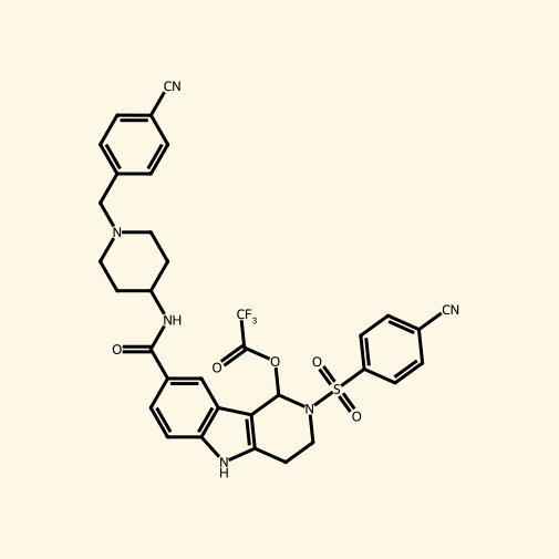 N#Cc1ccc(CN2CCC(NC(=O)c3ccc4[nH]c5c(c4c3)C(OC(=O)C(F)(F)F)N(S(=O)(=O)c3ccc(C#N)cc3)CC5)CC2)cc1